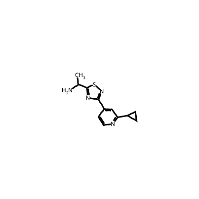 CC(N)c1nc(-c2ccnc(C3CC3)c2)ns1